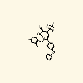 Cc1ccc(Cn2c(-c3ccc(Oc4ccccc4)cc3)cc(C(F)(F)C(F)(F)F)c(C#N)c2=O)c(C)c1